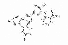 Cc1ccc(-c2nc(NN=C(Cc3ccccc3[N+](=O)[O-])C(=O)O)sc2-c2ccc(Cl)cc2)cc1